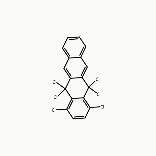 Clc1ccc(Cl)c2c1C(Cl)(Cl)c1cc3ccccc3cc1C2(Cl)Cl